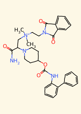 C[N+](C)(CCN1C(=O)c2ccccc2C1=O)CC(C(N)=O)N1CCC(OC(=O)Nc2ccccc2-c2ccccc2)CC1